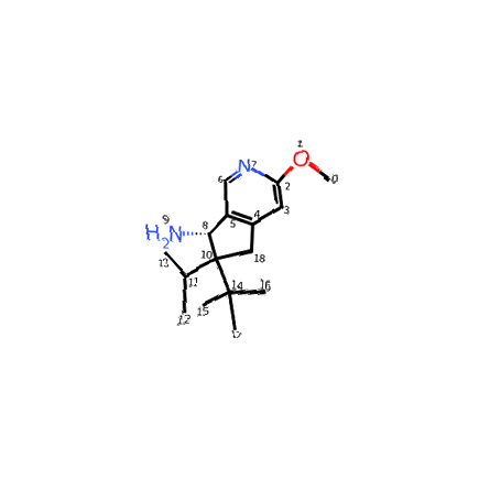 COc1cc2c(cn1)[C@@H](N)C(C(C)C)(C(C)(C)C)C2